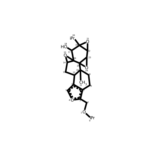 CC(C)OCc1occ2c1CCC1(C)C2CC2OC23C(O)C2(C(C)C)OC2C2OC213